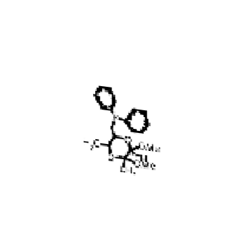 COC1(C)OC(C)C(CP(c2ccccc2)c2ccccc2)OC1(C)OC